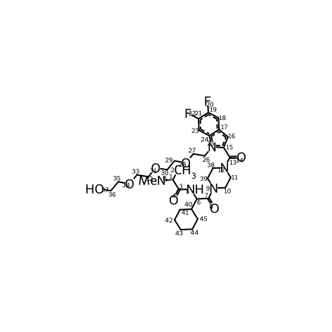 CN[C@@H](C)C(=O)NC(C(=O)N1CCN(C(=O)c2cc3cc(F)c(F)cc3n2CCOCCOCCOCCO)CC1)C1CCCCC1